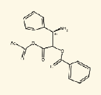 CC(=O)C(=O)OC(=O)C(OC(=O)c1ccccc1)[C@H](N)c1ccccc1